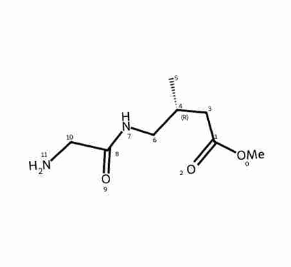 COC(=O)C[C@@H](C)CNC(=O)CN